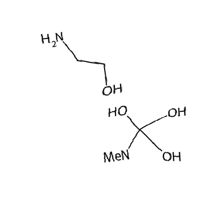 CNC(O)(O)O.NCCO